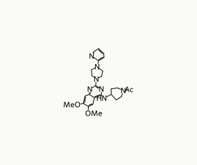 COc1cc2nc(N3CCN(c4ccccn4)CC3)nc(NC3CCN(C(C)=O)CC3)c2cc1OC